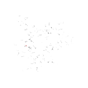 CC[C@H](C)[C@H](NC(=O)[C@H](Cc1ccc(O)cc1)NC(=O)[C@H](Cc1ccc(O)cc1)NC(=O)[C@H](CC(N)=O)NC(=O)[C@H](Cc1c[nH]c2ccccc12)NC(=O)[C@@H](NC(=O)[C@H](Cc1ccccc1)NC(=O)[C@@H](NC(=O)[C@H](C)N)C(C)C)C(C)C)C(=O)N[C@H](C(=O)N[C@@H](CO)C(=O)N[C@@H](CS)C(=O)O)[C@@H](C)CC